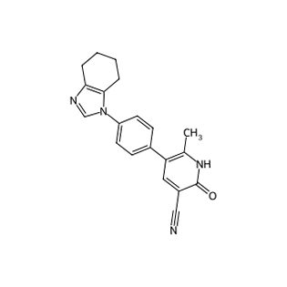 Cc1[nH]c(=O)c(C#N)cc1-c1ccc(-n2cnc3c2CCCC3)cc1